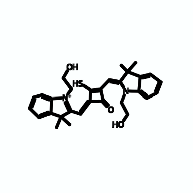 CC1(C)C(/C=C2/C(=O)C(/C=C3\N(CCO)c4ccccc4C3(C)C)=C2S)=[N+](CCO)c2ccccc21